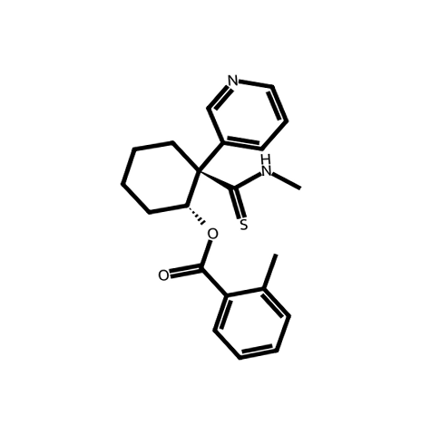 CNC(=S)[C@]1(c2cccnc2)CCCC[C@H]1OC(=O)c1ccccc1C